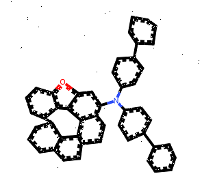 c1ccc(-c2ccc(N(c3ccc(-c4ccccc4)cc3)c3cc4oc5cccc6c5c4c4c3ccc3ccc5cccc-6c5c34)cc2)cc1